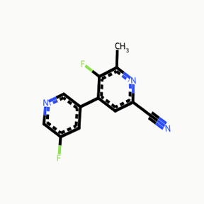 Cc1nc(C#N)cc(-c2cncc(F)c2)c1F